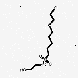 O=S(=O)(CCCCCCCCCl)NCCO